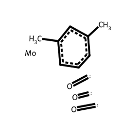 Cc1cccc(C)c1.[C]=O.[C]=O.[C]=O.[Mo]